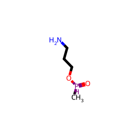 C[PH](=O)OCCCN